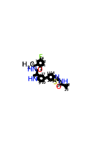 CC(NC(=O)c1c[nH]c2ccc(-c3ccc4nc(NC(=O)C5CC5)sc4c3)cc12)c1cccc(F)c1